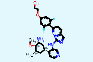 CO[C@H]1[C@H](N)C[C@H](c2ccncc2Nc2ncc3ccc(-c4c(F)cc(OCCO)cc4F)nn23)C[C@@H]1C